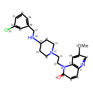 COc1cnc2ccc(=O)n(CCN3CCC(NCc4cccc(Cl)c4)CC3)c2c1